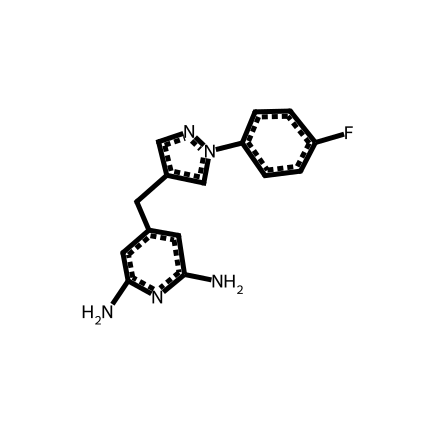 Nc1cc(Cc2cnn(-c3ccc(F)cc3)c2)cc(N)n1